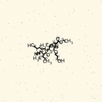 C#CCCCCN(C(=O)[C@@H](N=[N+]=[N-])[C@@H](C)CC)[C@H](C[C@@H](OCCCO)c1nc(C(=O)OCC)cs1)C(C)C